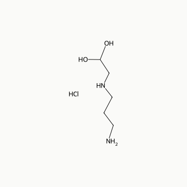 Cl.NCCCNCC(O)O